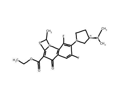 CCOC(=O)c1c2n(c3c(F)c(N4CC[C@@H](N(C)C)C4)c(F)cc3c1=O)C(C)S2